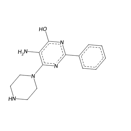 Nc1c(O)nc(-c2ccccc2)nc1N1CCNCC1